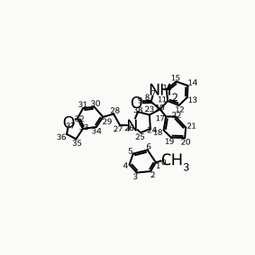 Cc1ccccc1.NC(=O)C(c1ccccc1)(c1ccccc1)C1CCN(CCc2ccc3c(c2)CCO3)C1